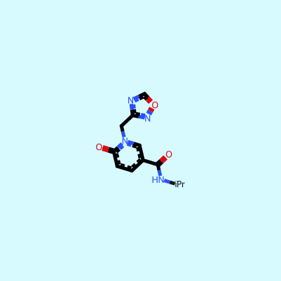 CC(C)NC(=O)c1ccc(=O)n(Cc2ncon2)c1